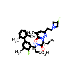 Cc1cc(-c2c(C)cccc2C)cc([C@H](CC(=O)O)NC(=O)[C@H](CC(C)C)n2nc(CCN3CC(F)C3)cc(C)c2=O)c1F